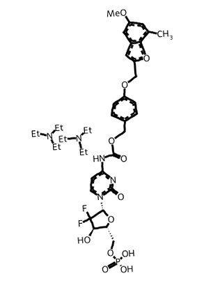 CCN(CC)CC.CCN(CC)CC.COc1cc(C)c2oc(COc3ccc(COC(=O)Nc4ccn([C@@H]5O[C@H](COP(=O)(O)O)[C@@H](O)C5(F)F)c(=O)n4)cc3)cc2c1